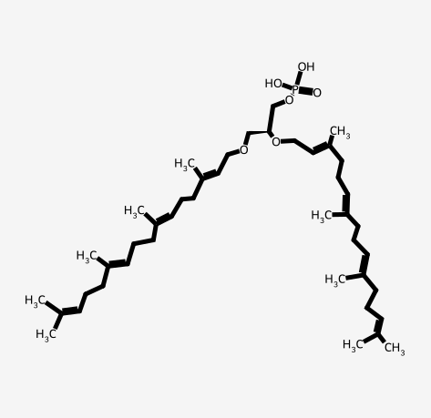 CC(C)=CCC/C(C)=C/CC/C(C)=C/CC/C(C)=C/COC[C@@H](COP(=O)(O)O)OC/C=C(\C)CC/C=C(\C)CC/C=C(\C)CCC=C(C)C